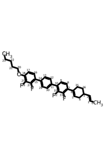 C/C=C/C1CC=C(c2ccc(-c3ccc(-c4ccc(OCCCCC)c(F)c4F)cc3)c(F)c2F)CC1